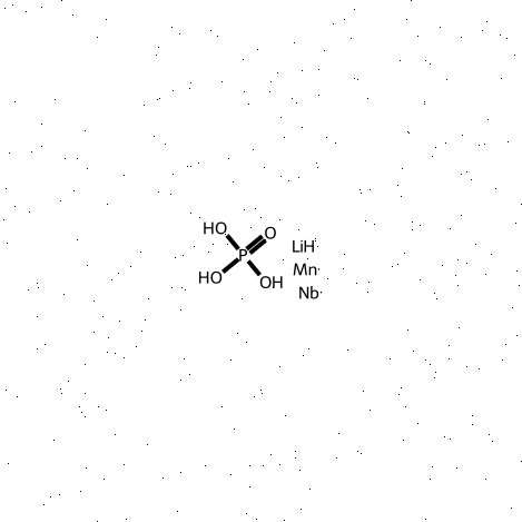 O=P(O)(O)O.[LiH].[Mn].[Nb]